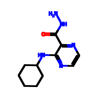 NNC(=O)c1nccnc1NC1CCCCC1